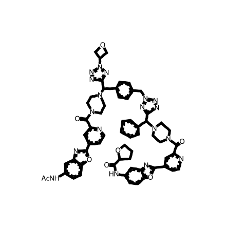 CC(=O)Nc1ccc2oc(-c3ccnc(C(=O)N4CCN(C(c5ccc(Cn6nnc(C(c7ccccc7)N7CCN(C(=O)c8cc(-c9nc%10cc(NC(=O)C%11CCCO%11)ccc%10o9)ccn8)CC7)n6)cc5)c5nnn(C6COC6)n5)CC4)c3)nc2c1